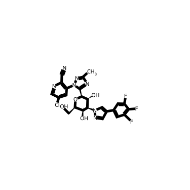 Cc1nc([C@@H]2O[C@H](CO)[C@H](O)[C@H](n3cc(-c4cc(F)c(F)c(F)c4)cn3)[C@H]2O)n(-c2cc(Cl)cnc2C#N)n1